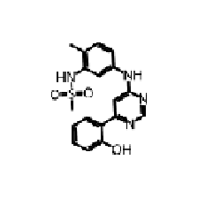 Cc1ccc(Nc2cc(-c3ccccc3O)ncn2)cc1NS(C)(=O)=O